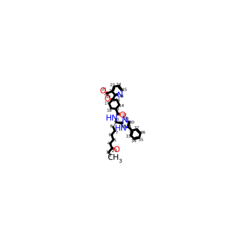 CCC(=O)CCCCC[C@H](NC(=O)C1CCC2(CC1)OC(=O)c1cccnc12)c1ncc(-c2ccccc2)[nH]1